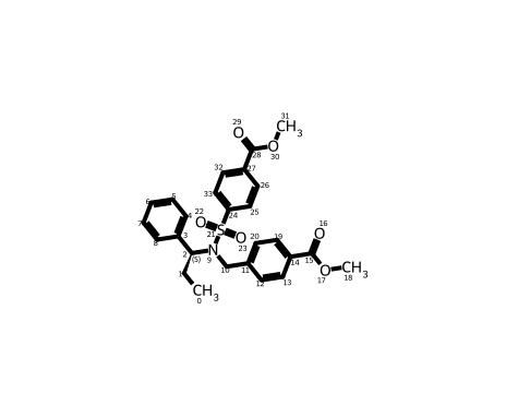 CC[C@@H](c1ccccc1)N(Cc1ccc(C(=O)OC)cc1)S(=O)(=O)c1ccc(C(=O)OC)cc1